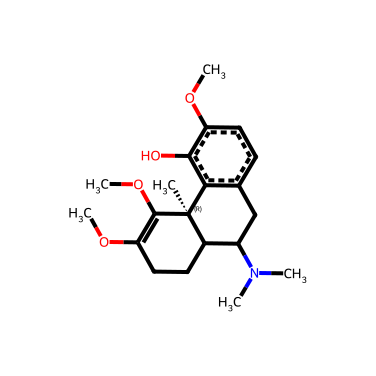 COC1=C(OC)[C@@]2(C)c3c(ccc(OC)c3O)CC(N(C)C)C2CC1